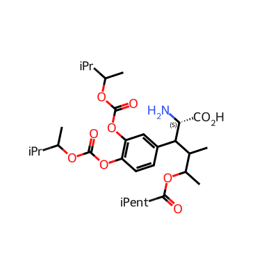 CCCC(C)C(=O)OC(C)C(C)C(c1ccc(OC(=O)OC(C)C(C)C)c(OC(=O)OC(C)C(C)C)c1)[C@H](N)C(=O)O